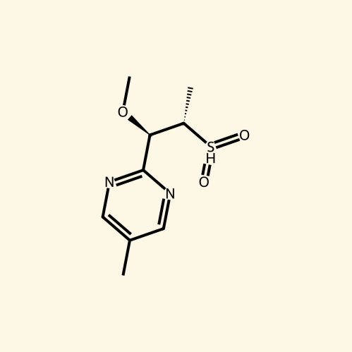 CO[C@H](c1ncc(C)cn1)[C@H](C)[SH](=O)=O